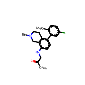 CCN1CCc2c(-c3cc(F)ccc3OC)ccc(NCC(=O)OC)c2C1